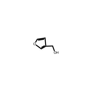 OCc1c[c]oc1